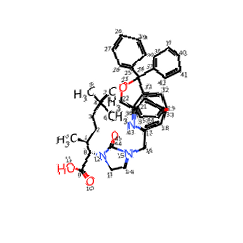 C[C@@H](CCC(C)(C)C)[C@@H](C(=O)O)N1CCN(Cc2cccc(COC(c3ccccc3)(c3ccccc3)c3ccccc3)n2)C1=O